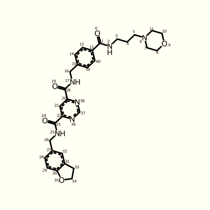 O=C(NCCCN1CCOCC1)c1ccc(CNC(=O)c2cc(C(=O)NCc3ccc4c(c3)CCO4)ncn2)cc1